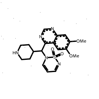 COc1cc2ncnc(C(C3CCNCC3)N3C=CC=NS3(=O)=O)c2cc1OC